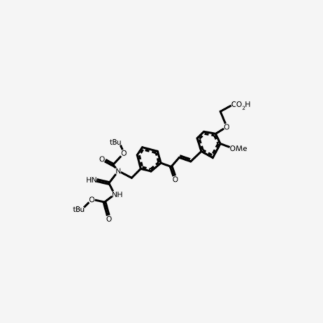 COc1cc(C=CC(=O)c2cccc(CN(C(=N)NC(=O)OC(C)(C)C)C(=O)OC(C)(C)C)c2)ccc1OCC(=O)O